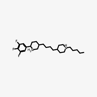 CCCCC[SiH]1CCC(CCCCC2CCC(c3cc(F)c(F)c(F)c3)[SiH2]C2)CC1